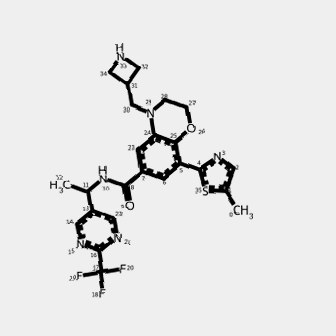 Cc1cnc(-c2cc(C(=O)NC(C)c3cnc(C(F)(F)F)nc3)cc3c2OCCN3CC2CNC2)s1